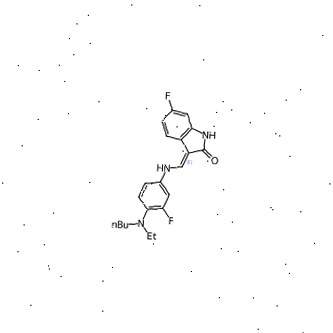 CCCCN(CC)c1ccc(N/C=C2/C(=O)Nc3cc(F)ccc32)cc1F